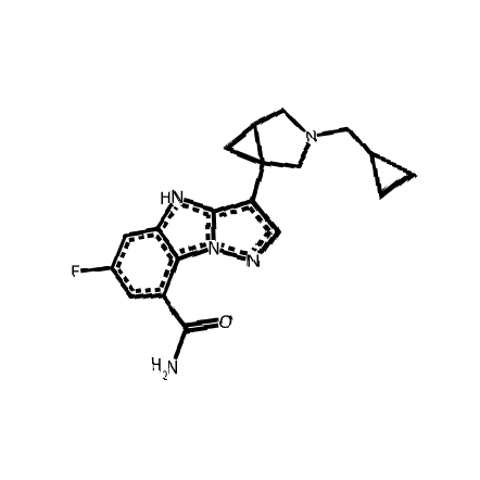 NC(=O)c1cc(F)cc2[nH]c3c(C45CC4CN(CC4CC4)C5)cnn3c12